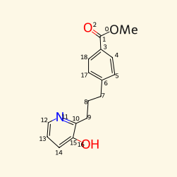 COC(=O)c1ccc(CCCc2ncccc2O)cc1